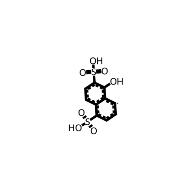 O=S(=O)(O)c1ccc2c(S(=O)(=O)O)cc[c]c2c1O